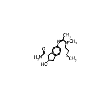 CSCCN(C)C(C)=Nc1ccc2c(c1)[C@@H](C(N)=O)[C@H](O)C2